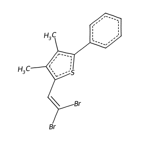 Cc1c(C=C(Br)Br)sc(-c2ccccc2)c1C